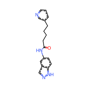 O=C(CCCCc1cccnc1)Nc1ccc2[nH]ncc2c1